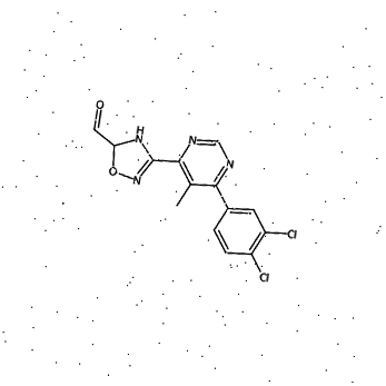 Cc1c(C2=NOC(C=O)N2)ncnc1-c1ccc(Cl)c(Cl)c1